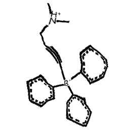 C[NH+](C)CC#C[B-](c1ccccc1)(c1ccccc1)c1ccccc1